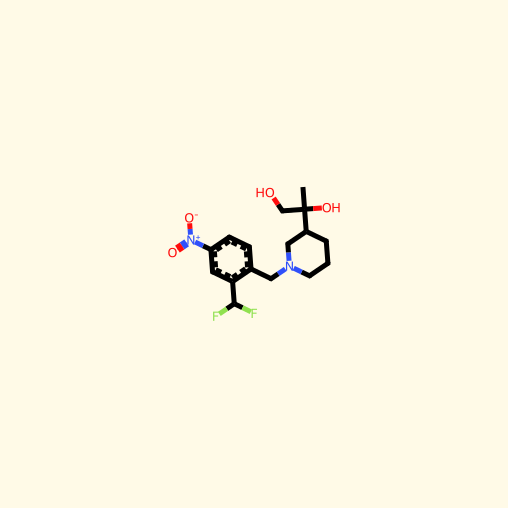 CC(O)(CO)C1CCCN(Cc2ccc([N+](=O)[O-])cc2C(F)F)C1